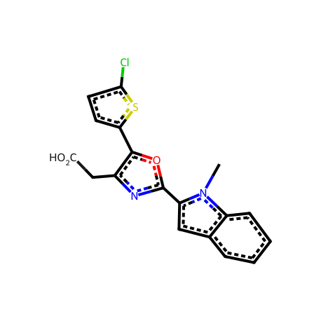 Cn1c(-c2nc(CC(=O)O)c(-c3ccc(Cl)s3)o2)cc2ccccc21